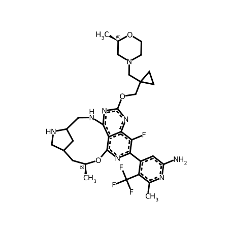 Cc1nc(N)cc(-c2nc3c4c(nc(OCC5(CN6CCO[C@H](C)C6)CC5)nc4c2F)NCC2CC(CN2)C[C@H](C)O3)c1C(F)(F)F